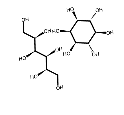 OC[C@@H](O)[C@H](O)[C@@H](O)[C@H](O)CO.O[C@H]1[C@H](O)[C@@H](O)[C@H](O)[C@@H](O)[C@H]1O